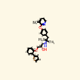 CC(C)(Cc1ccc(Oc2ncccc2C#N)cc1)NC[C@H](O)COc1ccccc1-c1cccs1